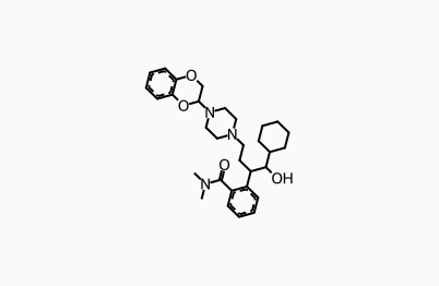 CN(C)C(=O)c1ccccc1C(CCN1CCN(C2COc3ccccc3O2)CC1)C(O)C1CCCCC1